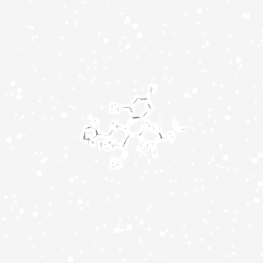 CC(C)OC(=O)C(C)OC(=O)C1=C(CBr)NC(c2nccs2)=NC1c1ccc(F)cc1Br